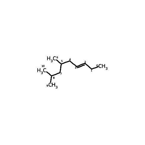 CCC=CCC(C)CC(C)C